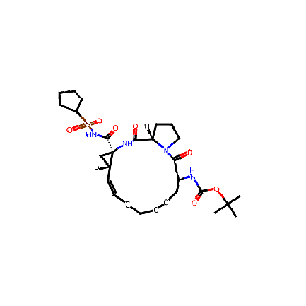 CC(C)(C)OC(=O)N[C@H]1CCCCC/C=C\[C@@H]2C[C@@]2(C(=O)NS(=O)(=O)C2CCCC2)NC(=O)[C@@H]2CCCN2C1=O